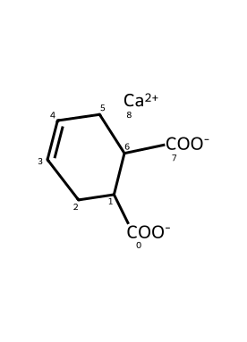 O=C([O-])C1CC=CCC1C(=O)[O-].[Ca+2]